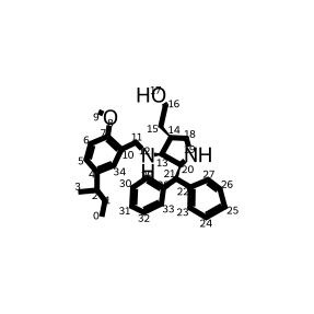 CCC(C)c1ccc(OC)c(CN[C@H]2[C@@H](CCO)CN[C@H]2C(c2ccccc2)c2ccccc2)c1